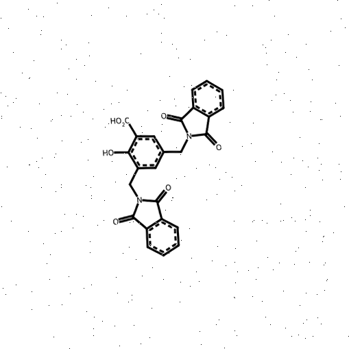 O=C(O)c1cc(CN2C(=O)c3ccccc3C2=O)cc(CN2C(=O)c3ccccc3C2=O)c1O